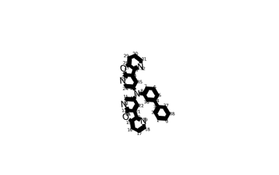 c1ccc(-c2cccc(N(c3cnc4oc5cccnc5c4c3)c3cnc4oc5cccnc5c4c3)c2)cc1